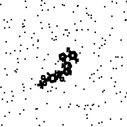 C[C@H]1CN(C(=O)NC2C=NN3C=CC(N4CCC[C@@H]4c4cc(F)ccc4F)=NC23)CCN1C(=O)OC(C)(C)C